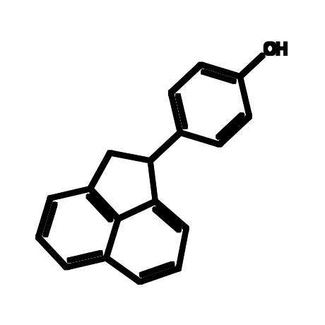 Oc1ccc(C2Cc3cccc4cccc2c34)cc1